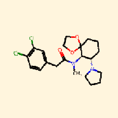 CN(C(=O)Cc1ccc(Cl)c(Cl)c1)[C@@H]1[C@@H](N2CCCC2)CCCC12OCCO2